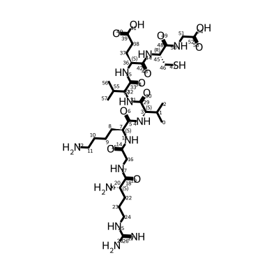 CC(C)[C@H](NC(=O)[C@H](CCCCN)NC(=O)CNC(=O)[C@@H](N)CCCNC(=N)N)C(=O)N[C@H](C(=O)N[C@@H](CCC(=O)O)C(=O)N[C@@H](CS)C(=O)NCC(=O)O)C(C)C